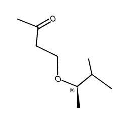 CC(=O)CCO[C@H](C)C(C)C